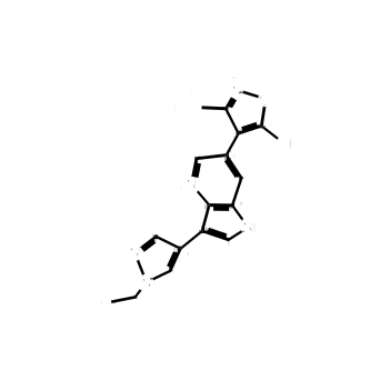 CCn1cc(-c2c[nH]c3cc(-c4c(C)noc4C)cnc23)cn1